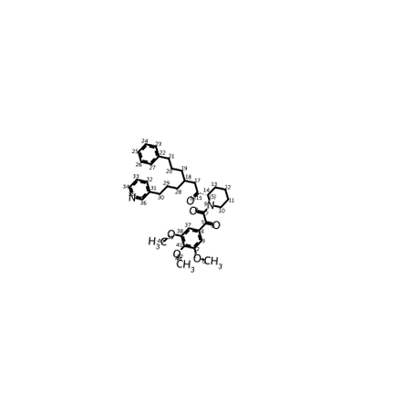 COc1cc(C(=O)C(=O)N2CCCC[C@H]2C(=O)CC(CCCc2ccccc2)CCCc2cccnc2)cc(OC)c1OC